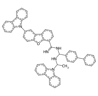 CC(NC(NC(=N)c1cccc2c1oc1ccc(-n3c4ccccc4c4ccccc43)cc12)c1ccc(-c2ccccc2)cc1)n1c2ccccc2c2ccccc21